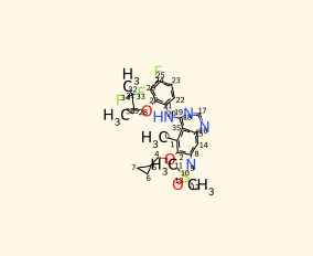 Cc1c(OCC2CC2)c(N=S(C)(C)=O)cc2ncnc(Nc3ccc(F)cc3O[C@H](C)C(C)(F)F)c12